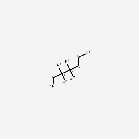 FCCC(F)(F)C(F)(F)CF